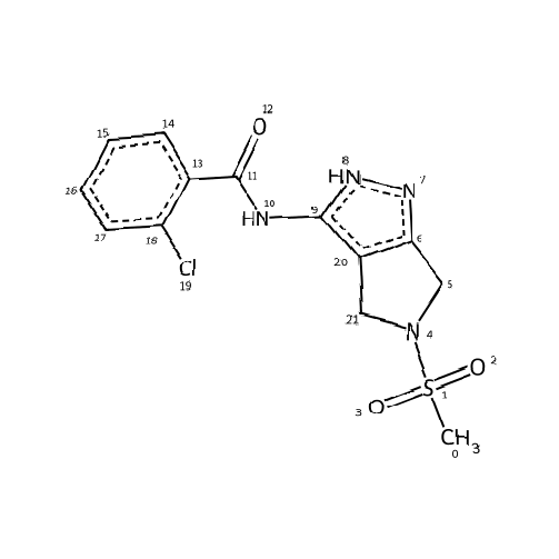 CS(=O)(=O)N1Cc2n[nH]c(NC(=O)c3ccccc3Cl)c2C1